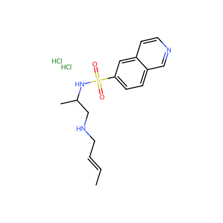 CC=CCNCC(C)NS(=O)(=O)c1ccc2cnccc2c1.Cl.Cl